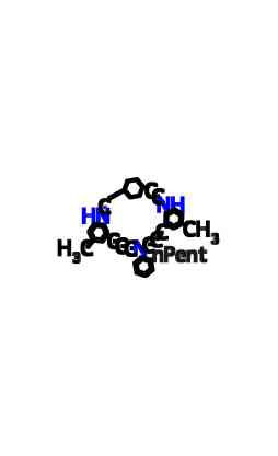 CCCCCc1ccccc1N1CCCc2cc(C)ccc2NCCC2CCC(CCNc3ccc(C)cc3CCC1)CC2